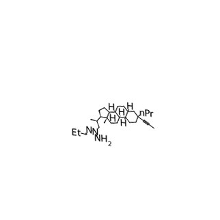 CC#C[C@]1(CCC)CC[C@H]2[C@H](CC[C@@H]3[C@@H]2CC[C@]2(C)[C@@H]([C@H](C)CN(N)/N=C/CC)CC[C@@H]32)C1